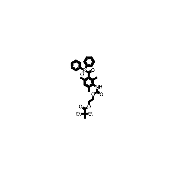 CCC(C)(CC)C(=O)OCCOC(=O)Nc1c(C)cc(C)c(C(=O)P(=O)(c2ccccc2)c2ccccc2)c1C